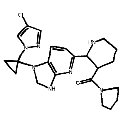 O=C(C1CCCNC1c1ccc2c(n1)NCN2C1(n2cc(Cl)cn2)CC1)N1CCCC1